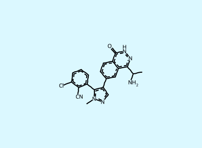 CC(N)c1n[nH]c(=O)c2ccc(-c3cnn(C)c3-c3cccc(Cl)c3C#N)cc12